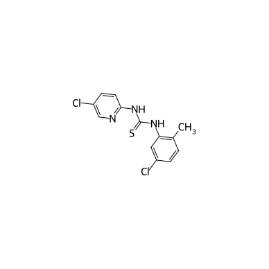 Cc1ccc(Cl)cc1NC(=S)Nc1ccc(Cl)cn1